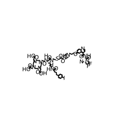 N#C[C@H]1CC(F)(F)CN1C(=O)CNC(=O)c1ccnc2ccc(OCCCN3CCN(C(=O)[C@H](O)CSCCNC(=O)[C@H](CSCCNC(=O)CCCc4ccc(I)cc4)NC(=O)CN4CCN(CC(=O)O)CCN(CC(=O)O)CCN(CC(=O)O)CC4)CC3)cc12